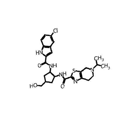 CC(C)N1CCc2nc(C(=O)NC3CC(CO)CC3NC(=O)c3cc4cc(Cl)ccc4[nH]3)sc2C1